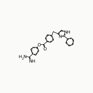 N=C(N)c1ccc(OC(=O)c2ccc(Cc3c[nH]c(-c4ccccc4)n3)cc2)cc1